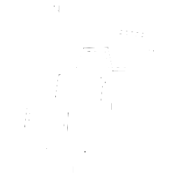 N#Cc1c(C(=O)c2cccc(C(F)(F)F)c2)n(O)c2ccccc12